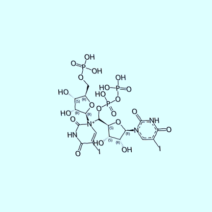 O=C1NC(=O)[N+](C(OP(=O)(O)OP(=O)(O)O)[C@H]2O[C@@H](n3cc(I)c(=O)[nH]c3=O)[C@H](O)[C@@H]2O)([C@@H]2O[C@H](COP(=O)(O)O)[C@@H](O)[C@H]2O)C=C1I